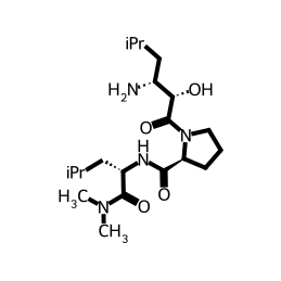 CC(C)C[C@H](NC(=O)[C@@H]1CCCN1C(=O)[C@@H](O)[C@H](N)CC(C)C)C(=O)N(C)C